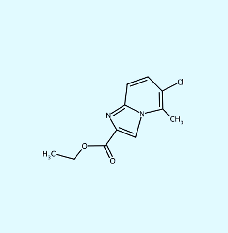 CCOC(=O)c1cn2c(C)c(Cl)ccc2n1